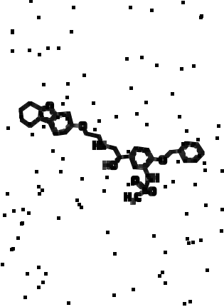 CS(=O)(=O)Nc1cc([C@@H](O)CNCCOc2ccc3c4c(oc3c2)CCCC4)ccc1OCc1ccccc1